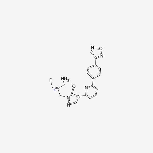 NC/C(=C\F)Cn1ncn(-c2cccc(-c3ccc(-c4cnon4)cc3)n2)c1=O